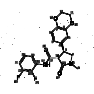 CN1C[C@H](c2ccc3c(c2)OCCO3)[C@@H](C(=O)Nc2cccc(F)c2F)C1=O